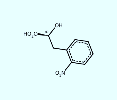 O=C(O)[C@@H](O)Cc1ccccc1[N+](=O)[O-]